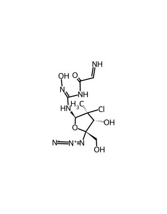 C[C@@]1(Cl)[C@H](N/C(=N/O)NC(=O)C=N)O[C@@](CO)(N=[N+]=[N-])[C@H]1O